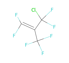 FC(F)=C(C(F)(F)F)C(F)(F)Cl